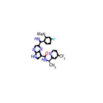 CNc1cc(F)ccc1C(=N)c1cnc2[nH]cc(C(=O)N[C@H](C)c3cc(C(F)(F)F)ccn3)c2n1